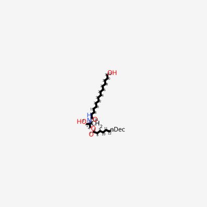 [CH2]C(CO)(COC(=O)CCCCCCCCCCCCCCC)NC(=O)CCCCCCCCCCCCCCCO